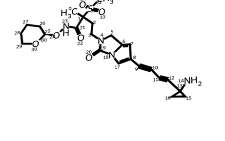 CC(CCN1Cc2cc(C#CC#CC3(N)CC3)cn2C1=O)(C(=O)NO[C@@H]1CCCCO1)S(C)(=O)=O